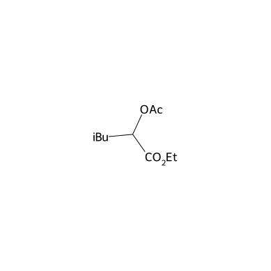 CCOC(=O)C(OC(C)=O)C(C)CC